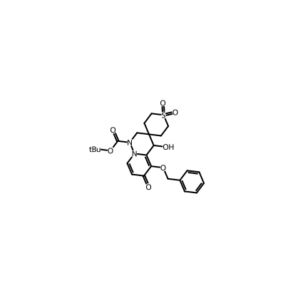 CC(C)(C)OC(=O)N1CC2(CCS(=O)(=O)CC2)C(O)c2c(OCc3ccccc3)c(=O)ccn21